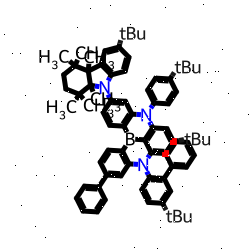 CC(C)(C)c1ccc(N2c3cc(N4c5ccc(C(C)(C)C)cc5C5(C)C(C)(C)CCC(C)(C)C45C)ccc3B3c4ccc(-c5ccccc5)cc4N(c4ccc(C(C)(C)C)cc4-c4ccccc4)c4cc(C(C)(C)C)cc2c43)cc1